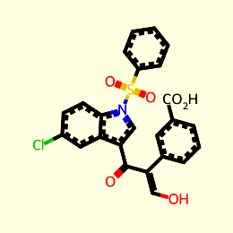 O=C(O)c1cccc(C(=CO)C(=O)c2cn(S(=O)(=O)c3ccccc3)c3ccc(Cl)cc23)c1